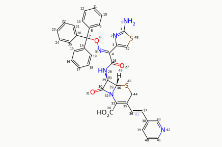 Nc1nc(C(=NOC(c2ccccc2)(c2ccccc2)c2ccccc2)C(=O)N[C@@H]2C(=O)N3C(C(=O)O)=C(/C=C/c4cccnc4)CS[C@@H]23)cs1